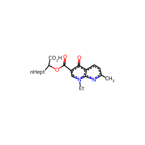 CCCCCCCC(OC(=O)c1cn(CC)c2nc(C)ccc2c1=O)C(=O)O